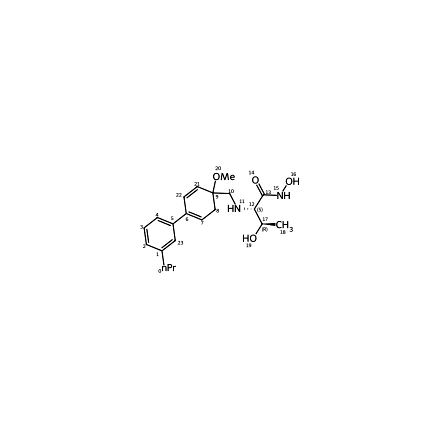 CCCc1cccc(C2=CCC(CN[C@H](C(=O)NO)[C@@H](C)O)(OC)C=C2)c1